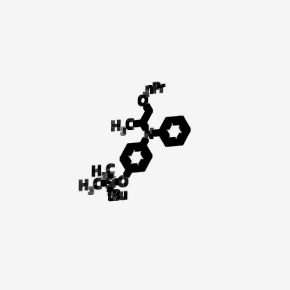 CCCOCC(C)N(c1ccccc1)c1ccc(O[Si](C)(C)C(C)(C)C)cc1